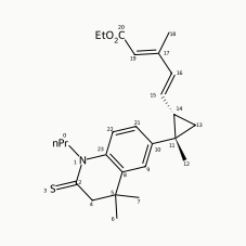 CCCN1C(=S)CC(C)(C)c2cc([C@@]3(C)C[C@H]3C=CC(C)=CC(=O)OCC)ccc21